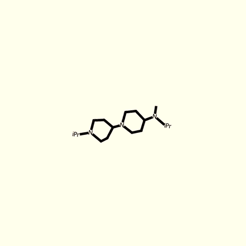 CC(C)N1CCC(N2CCC(N(C)C(C)C)CC2)CC1